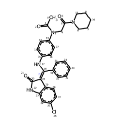 CC(=O)N(CC(=O)N1CCCCC1)c1ccc(N/C(=C2\C(=O)Nc3cc(Cl)ccc32)c2ccccc2)cc1